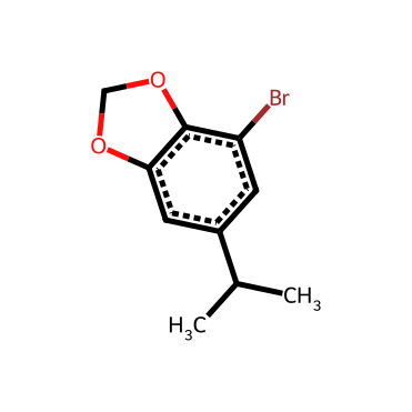 CC(C)c1cc(Br)c2c(c1)OCO2